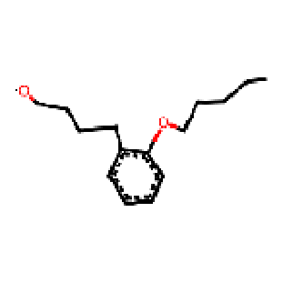 CCCCCOc1ccccc1CCCC[O]